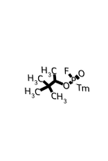 CC(O[P](=O)(F)[Tm])C(C)(C)C